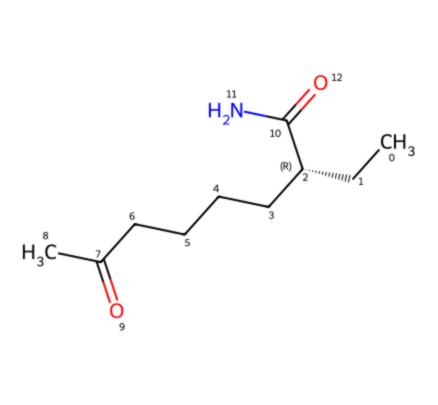 CC[C@H](CCCCC(C)=O)C(N)=O